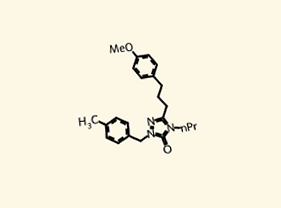 CCCn1c(CCCc2ccc(OC)cc2)nn(Cc2ccc(C)cc2)c1=O